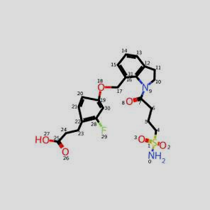 NS(=O)(=O)CCCC(=O)N1CCc2cccc(COc3ccc(CCC(=O)O)c(F)c3)c21